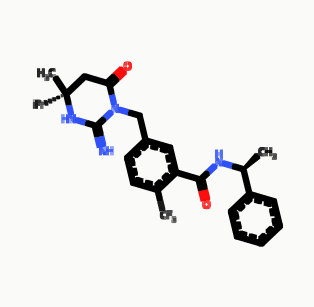 CC(C)[C@]1(C)CC(=O)N(Cc2ccc(C(F)(F)F)c(C(=O)N[C@@H](C)c3ccccc3)c2)C(=N)N1